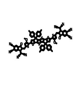 COc1cc(/C=C2\C(=O)c3cc(C#N)c(C#N)cc3C2=C(C#N)C#N)sc1-c1cc2c(s1)-c1sc3c4c(sc3c1C2(c1ccc(C)cc1)c1ccc(C)cc1)-c1sc(-c2sc(/C=C3\C(=O)c5cc(C#N)c(C#N)cc5C3=C(C#N)C#N)cc2OC)cc1C4(c1ccc(C)cc1)c1ccc(C)cc1